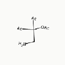 CC(=O)OC(CN)(C(C)=O)C(C)=O